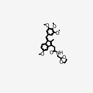 COc1ccc2c(c1)C(CC(=O)NCC1OCCO1)=C(C)C2=Cc1cc(OC)c(OC)c(OC)c1